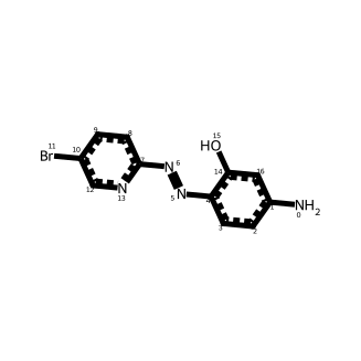 Nc1ccc(N=Nc2ccc(Br)cn2)c(O)c1